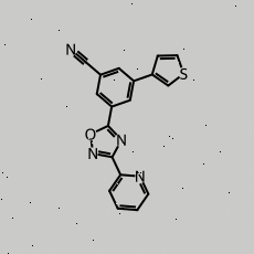 N#Cc1cc(-c2ccsc2)cc(-c2nc(-c3ccccn3)no2)c1